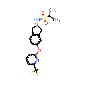 CC(C)S(=O)(=O)N[C@@H]1Cc2ccc(Oc3cccc(C(F)(F)F)n3)cc2C1